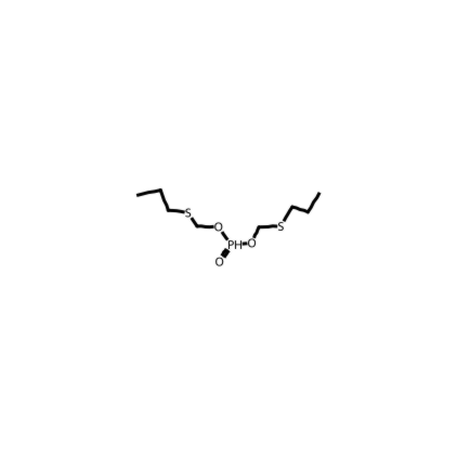 CCCSCO[PH](=O)OCSCCC